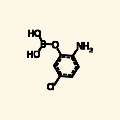 Nc1ccc(Cl)cc1OB(O)O